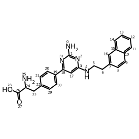 Nc1nc(NCCc2ccc3ccccc3c2)cc(-c2ccc(CC(N)C(=O)O)cc2)n1